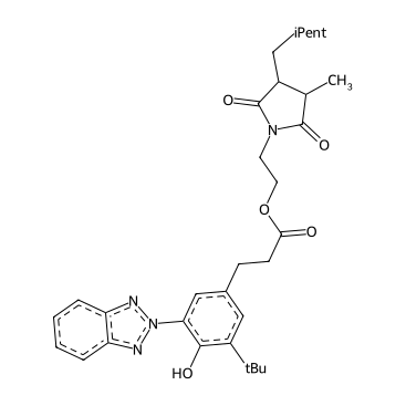 CCCC(C)CC1C(=O)N(CCOC(=O)CCc2cc(-n3nc4ccccc4n3)c(O)c(C(C)(C)C)c2)C(=O)C1C